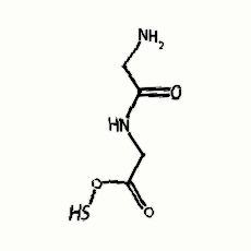 NCC(=O)NCC(=O)OS